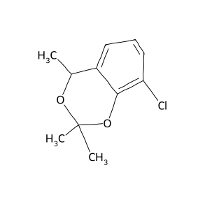 CC1OC(C)(C)Oc2c(Cl)cccc21